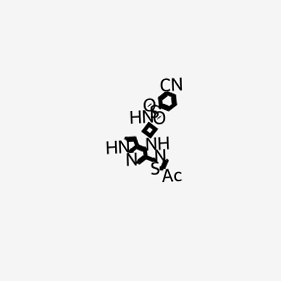 CC(=O)c1cnc(-c2cnc3[nH]ccc3c2N[C@H]2C[C@@H](NS(=O)(=O)c3cccc(C#N)c3)C2)s1